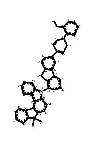 CCc1ccccc1C1C=CC(c2ccc3c(c2)-c2cccc(-n4c5ccccc5c5c6c(ccc54)C(C)(C)c4ccccc4-6)c2C3)=CC1